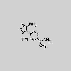 C[C@H](N)c1ccc(-c2scnc2N)cc1.Cl